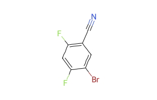 N#Cc1cc(Br)c(F)cc1F